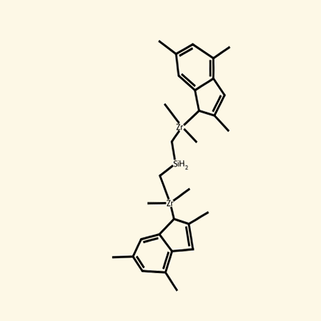 CC1=Cc2c(C)cc(C)cc2[CH]1[Zr]([CH3])([CH3])[CH2][SiH2][CH2][Zr]([CH3])([CH3])[CH]1C(C)=Cc2c(C)cc(C)cc21